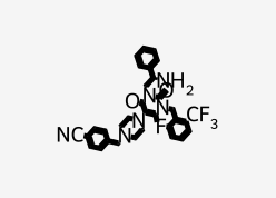 Cc1c(N2CCN(Cc3ccc(C#N)cc3)CC2)c(=O)n(C[C@H](N)c2ccccc2)c(=O)n1Cc1c(F)cccc1C(F)(F)F